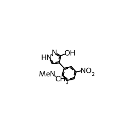 CNC.O=[N+]([O-])c1cccc(-c2c[nH]nc2O)c1